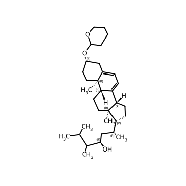 CC(C)C(C)[C@H](O)C[C@@H](C)[C@H]1CC[C@H]2C3=CC=C4C[C@@H](OC5CCCCO5)CC[C@]4(C)[C@H]3CC[C@]12C